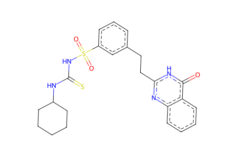 O=c1[nH]c(CCc2cccc(S(=O)(=O)NC(=S)NC3CCCCC3)c2)nc2ccccc12